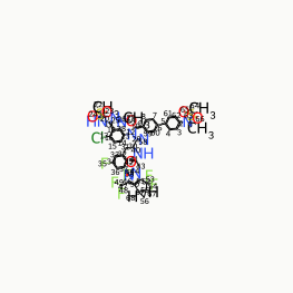 CN(c1ccc(-c2ccc3c(=O)n(-c4ccc(Cl)c5c(NS(C)(=O)=O)nn(C)c45)c([C@H](Cc4cc(F)cc(F)c4)NC(=O)Cn4nc(C(F)F)c5c4C(F)(F)[C@@H]4C[C@H]54)nc3c2)cc1)S(C)(=O)=O